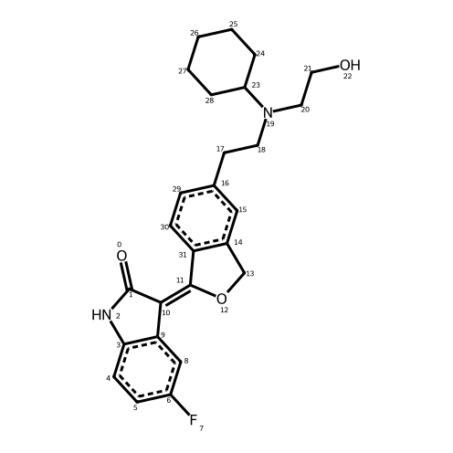 O=C1Nc2ccc(F)cc2/C1=C1\OCc2cc(CCN(CCO)C3CCCCC3)ccc21